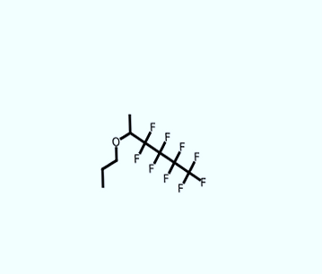 CCCOC(C)C(F)(F)C(F)(F)C(F)(F)C(F)(F)F